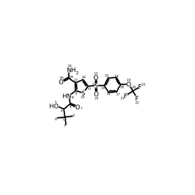 CC(C)(C)C(O)C(=O)Nc1sc(S(=O)(=O)c2ccc(OC(F)(F)F)cc2)cc1C(N)=O